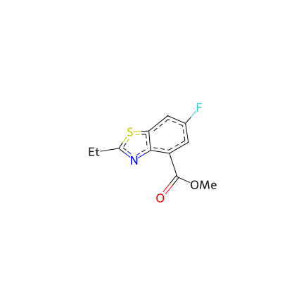 CCc1nc2c(C(=O)OC)cc(F)cc2s1